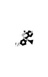 C[S+]([O-])c1cnccc1-c1nc2cc(C(F)(F)F)ccc2n1C1CC1